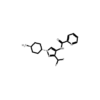 C[C@H]1CC[C@H](n2cc(NC(=O)c3ccccn3)c(C(F)F)n2)CC1